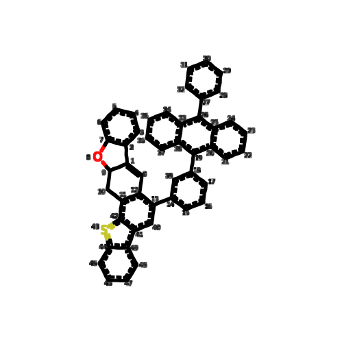 C1=C2c3ccccc3OC2Cc2c1c(-c1cccc(-c3c4ccccc4c(-c4ccccc4)c4ccccc34)c1)cc1c2sc2ccccc21